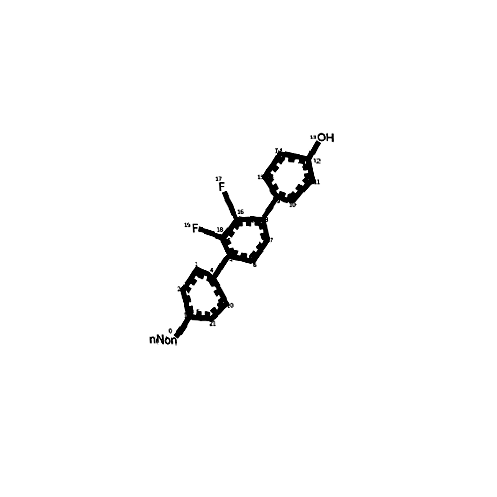 CCCCCCCCCc1ccc(-c2ccc(-c3ccc(O)cc3)c(F)c2F)cc1